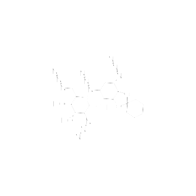 [N-]=[N+]=NCC1O[C@H](O[C@@H]2C(N=[N+]=[N-])C[C@@H](N=[N+]=[N-])C3OC4(CCCCC4)O[C@H]32)C(N=[N+]=[N-])[C@@H](O)[C@@H]1O